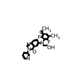 COc1cc(C)c(F)c(N(CCO)c2ccc3ncn(-c4cccnc4)c(=O)c3c2)c1F